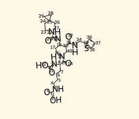 O=C(O)NCCCC[C@@H](NC(=O)O)C(=O)N1CC[C@@H](NC(=O)N2CCC3(CC2)CC3)[C@@H](C(=O)NCc2cccs2)C1